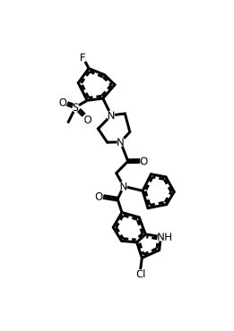 CS(=O)(=O)c1cc(F)ccc1N1CCN(C(=O)CN(C(=O)c2ccc3c(Cl)c[nH]c3c2)c2ccccc2)CC1